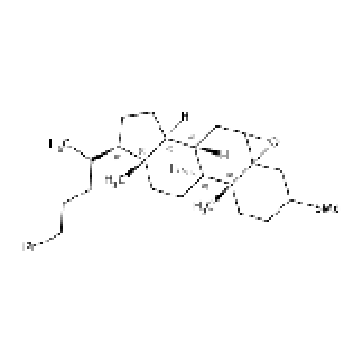 CSC1CC[C@]2(C)[C@H]3CC[C@]4(C)[C@@H](C(C)CCCC(C)C)CC[C@H]4[C@@H]3CC3OC32C1